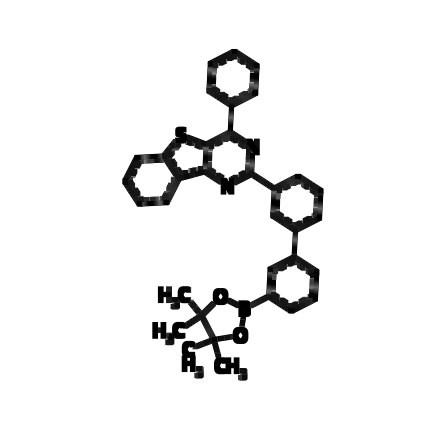 CC1(C)OB(c2cccc(-c3cccc(-c4nc(-c5ccccc5)c5sc6ccccc6c5n4)c3)c2)OC1(C)C